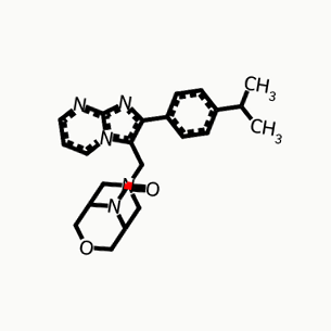 CC(C)c1ccc(-c2nc3ncccn3c2CN2CC3COCC(C2)N3C=O)cc1